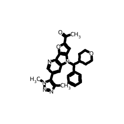 CC(=O)c1cc2c(o1)c1ncc(-c3c(C)nnn3C)cc1n2C(c1ccccc1)C1CCOCC1